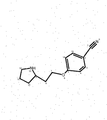 N#Cc1ccc(OCCC2CCCN2)cc1